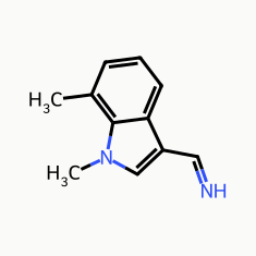 Cc1cccc2c(C=N)cn(C)c12